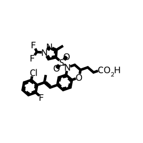 CC(=Cc1ccc2c(c1)N(S(=O)(=O)c1cn(C(F)F)nc1C)CC(CCC(=O)O)O2)c1c(F)cccc1Cl